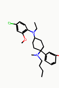 CCCCN(C)C1(c2cccc(O)c2)CCC(N(CC)c2ccc(Cl)cc2OC)CC1